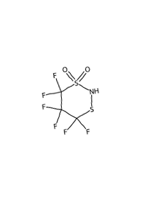 O=S1(=O)NSC(F)(F)C(F)(F)C1(F)F